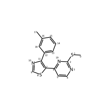 CSc1nccc(-c2scnc2-c2cccc(C)c2)n1